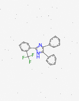 FC(F)(F)c1ccccc1-c1nc(-c2ccccc2)c(-c2ccccc2)[nH]1